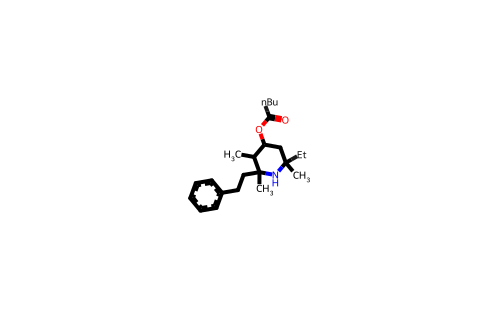 CCCCC(=O)OC1CC(C)(CC)NC(C)(CCc2ccccc2)C1C